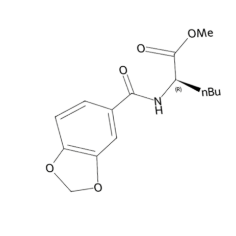 CCCC[C@@H](NC(=O)c1ccc2c(c1)OCO2)C(=O)OC